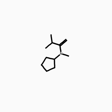 C=C(C(C)C)N(C)C1CCCC1